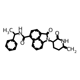 C=C1CCC(N2C(=O)c3ccc(C(=O)NC(C)c4ccccc4)c4cccc2c34)C(=O)N1